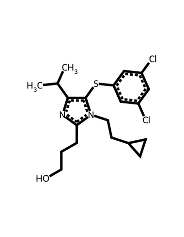 CC(C)c1nc(CCCO)n(CCC2CC2)c1Sc1cc(Cl)cc(Cl)c1